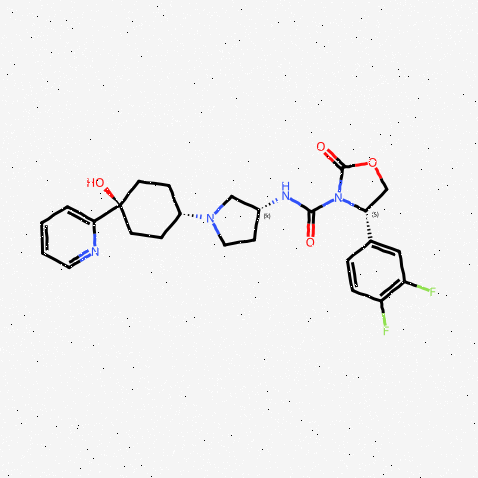 O=C(N[C@@H]1CCN([C@H]2CC[C@@](O)(c3ccccn3)CC2)C1)N1C(=O)OC[C@@H]1c1ccc(F)c(F)c1